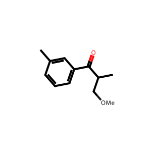 COCC(C)C(=O)c1cccc(C)c1